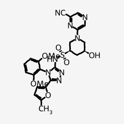 COc1cccc(OC)c1-n1c(NS(=O)(=O)[C@@H]2C[C@H](O)CN(c3cncc(C#N)n3)C2)nnc1-c1ccc(C)o1